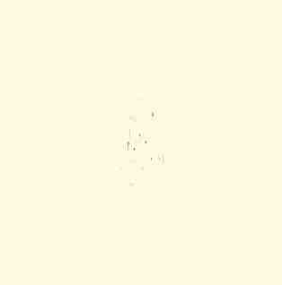 CO.Oc1ccccc1N=Nc1ccccc1